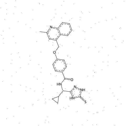 Cc1cc(COc2ccc(C(=O)NC(c3n[nH]c(=S)[nH]3)C3CC3)cc2)c2ccccc2n1